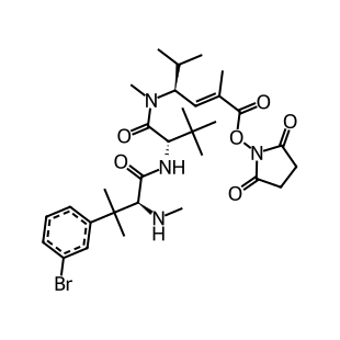 CN[C@H](C(=O)N[C@H](C(=O)N(C)[C@H](/C=C(\C)C(=O)ON1C(=O)CCC1=O)C(C)C)C(C)(C)C)C(C)(C)c1cccc(Br)c1